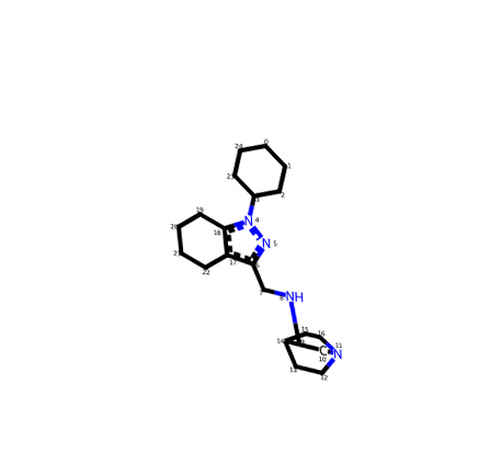 C1CCC(n2nc(CNC3CN4CCC3CC4)c3c2CCCC3)CC1